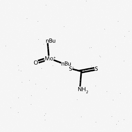 CCC[CH2][Mo+](=[O])[CH2]CCC.NC(=S)[S-]